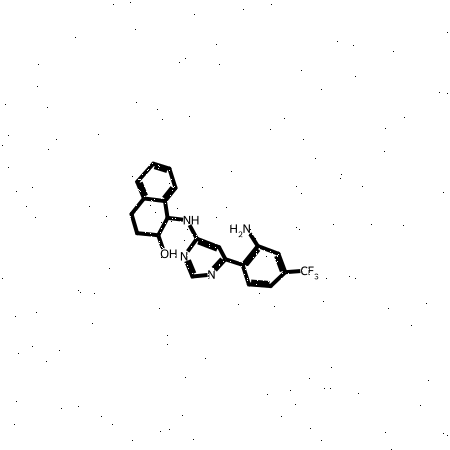 Nc1cc(C(F)(F)F)ccc1-c1cc(NC2c3ccccc3CCC2O)ncn1